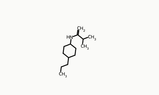 C=C(NC1CCC(CCC)CC1)C(C)C